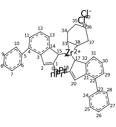 CCCC1=Cc2c(-c3ccccc3)cccc2[CH]1[Zr+2]1([CH]2C(CCC)=Cc3c(-c4ccccc4)cccc32)[CH]2CCCC[CH]21.[Cl-].[Cl-]